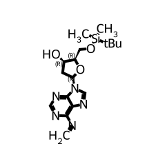 C=Nc1ncnc2c1ncn2[C@H]1C[C@@H](O)[C@@H](CO[Si](C)(C)C(C)(C)C)O1